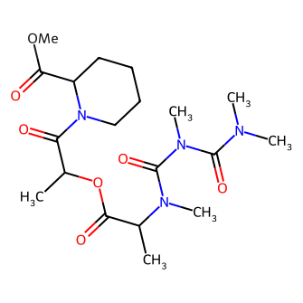 COC(=O)C1CCCCN1C(=O)C(C)OC(=O)C(C)N(C)C(=O)N(C)C(=O)N(C)C